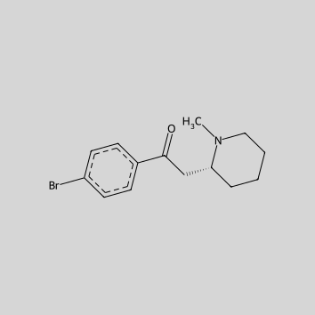 CN1CCCC[C@@H]1CC(=O)c1ccc(Br)cc1